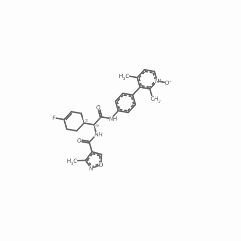 Cc1cc[n+]([O-])c(C)c1-c1ccc(NC(=O)[C@@H](NC(=O)c2conc2C)[C@@H]2CC=C(F)CC2)cc1